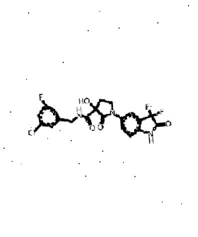 O=C(NCc1cc(F)cc(Cl)c1)C1(O)CCN(c2ccc3c(c2)C(F)(F)C(=O)N3)C1=O